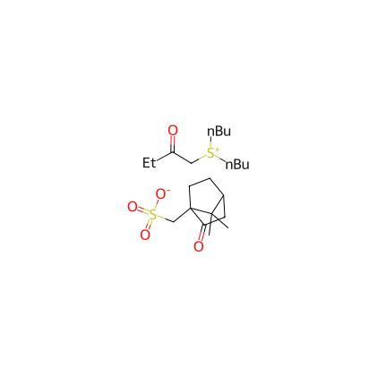 CC1(C)C2CCC1(CS(=O)(=O)[O-])C(=O)C2.CCCC[S+](CCCC)CC(=O)CC